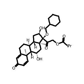 CC(C)C(=O)OCC(=O)[C@@]1(OCC2CCCCC2)[C@H](O)C[C@H]2[C@@H]3CCC4=CC(=O)C=C[C@]4(C)[C@H]3[C@@H](O)C[C@@]21C